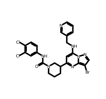 O=C(Nc1ccc(Cl)c(Cl)c1)N1CCCC(c2cc(NCc3cccnc3)n3ncc(Br)c3n2)C1